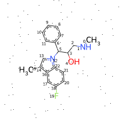 CNCC(O)C(c1ccccc1)n1cc(C)c2cc(F)ccc21